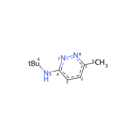 Cc1ccc(NC(C)(C)C)nn1